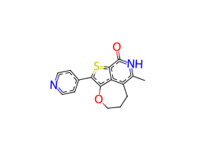 Cc1[nH]c(=O)c2sc(-c3ccncc3)c3c2c1CCCO3